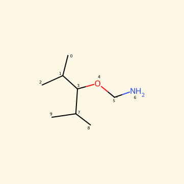 CC(C)C(O[CH]N)C(C)C